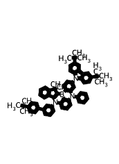 CC(C)(C)c1ccc(-c2cccc(N3C4=C(B5c6ccc(-n7c8ccc(C(C)(C)C)cc8c8cc(C(C)(C)C)ccc87)cc6N(c6ccccc6)c6cccc3c65)C(C)(C)c3ccccc34)c2)cc1